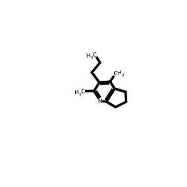 CCCc1c(C)nc2c(c1C)CCC2